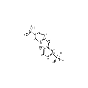 O=C(O)c1cnc(Oc2cccc(C(F)(F)F)c2)c(Br)c1